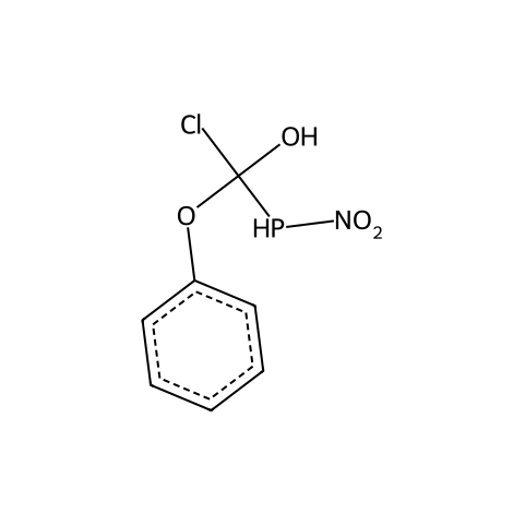 O=[N+]([O-])PC(O)(Cl)Oc1ccccc1